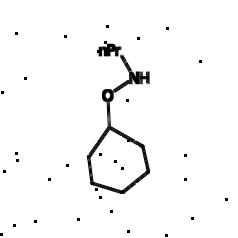 CCCNOC1CCCCC1